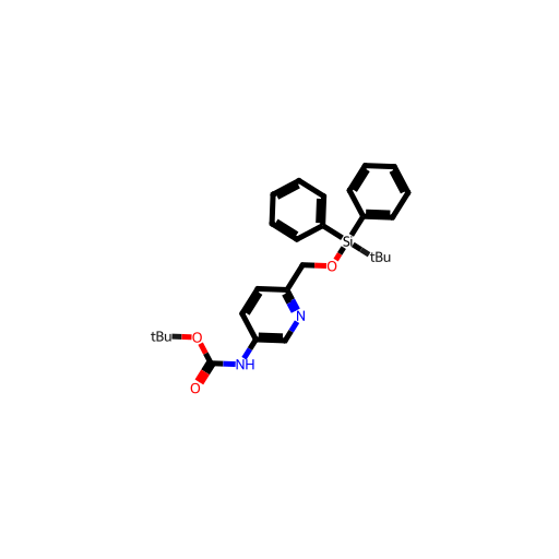 CC(C)(C)OC(=O)Nc1ccc(CO[Si](c2ccccc2)(c2ccccc2)C(C)(C)C)nc1